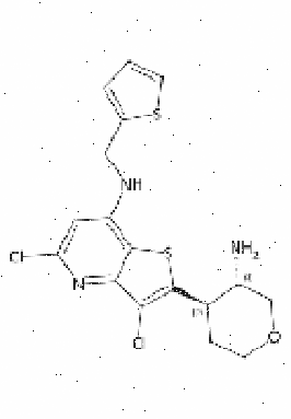 N[C@@H]1COCC[C@H]1c1sc2c(NCc3cccs3)cc(Cl)nc2c1Cl